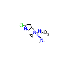 CN(C)C=NC(=N[N+](=O)[O-])N(Cc1ccc(Cl)nc1)C1CC1